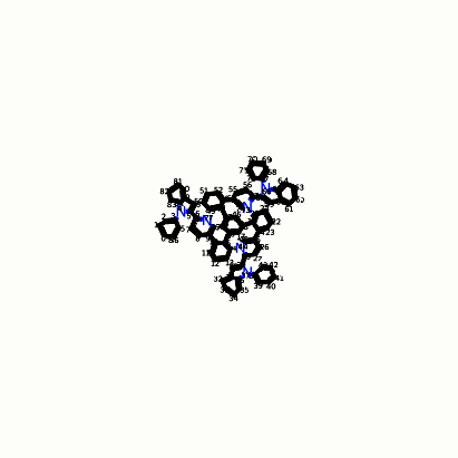 c1ccc(-n2c(-c3ccc(-c4ccccc4-c4cc(-c5ccccc5-c5ccc(-c6cc7ccccc7n6-c6ccccc6)nc5)cc(-c5ccccc5-c5ccc(-c6cc7ccccc7n6-c6ccccc6)nc5)c4)cn3)cc3ccccc32)cc1